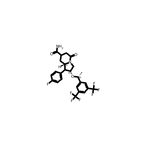 C[C@@H](O[C@H]1CN2C(=O)CC(C(N)=O)C[C@H]2C1c1ccc(F)cc1)c1cc(C(F)(F)F)cc(C(F)(F)F)c1